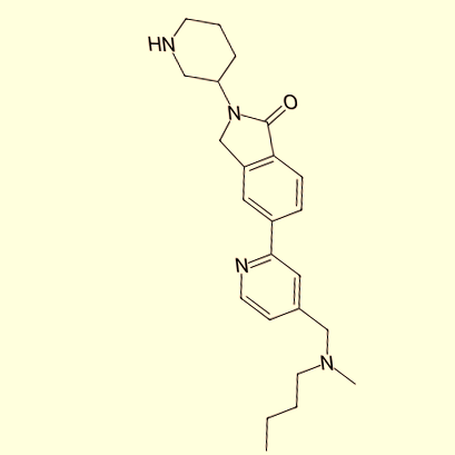 CCCCN(C)Cc1ccnc(-c2ccc3c(c2)CN(C2CCCNC2)C3=O)c1